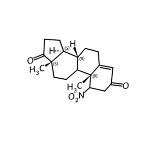 C[C@@]12C(=CC(=O)CC1[N+](=O)[O-])CC[C@@H]1C2CC[C@]2(C)C(=O)CC[C@@H]12